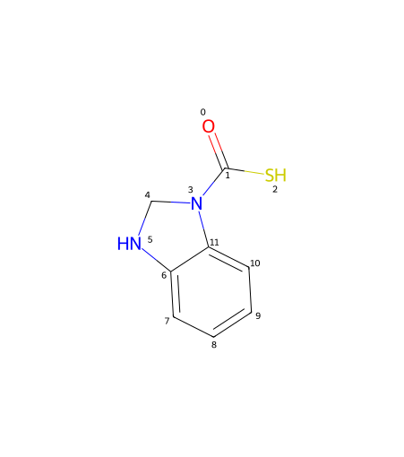 O=C(S)N1CNc2ccccc21